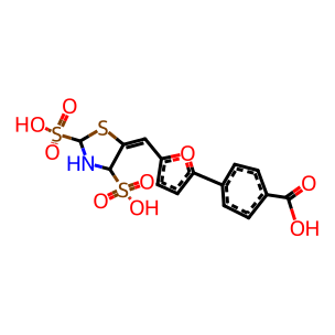 O=C(O)c1ccc(-c2ccc(C=C3SC(S(=O)(=O)O)NC3S(=O)(=O)O)o2)cc1